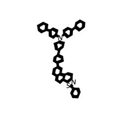 c1ccc(-c2ccc(N(c3ccc(-c4ccccc4)cc3)c3ccc(-c4ccc(-c5ccc6ccc7c(ccc8nc(-c9ccccc9)sc87)c6c5)cc4)cc3)cc2)cc1